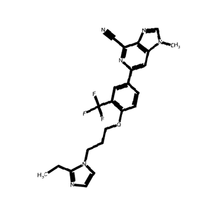 CCc1nccn1CCCOc1ccc(-c2cc3c(ncn3C)c(C#N)n2)cc1C(F)(F)F